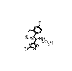 CCc1noc(C(NC(=O)O)[C@H](c2ccc(F)cc2F)C(C)(C)C)n1